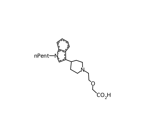 CCCCCn1cc(C2CCN(CCOCC(=O)O)CC2)c2ccccc21